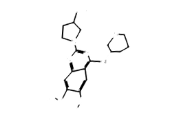 COc1cc2nc(N3CCC(C)C3)nc(N[C@H]3CCCNC3)c2cc1OC